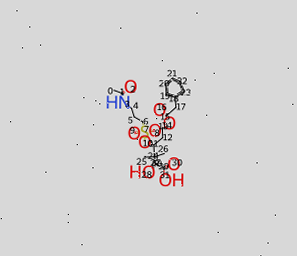 CC(=O)NCCCS(=O)(=O)OC(CCOC(=O)Cc1ccccc1)C(C)(C)[C@@H](O)C(=O)O